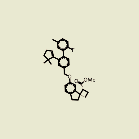 COC(=O)[C@@H]1CC[C@@]12CCc1ccc(OCc3ccc(-c4cc(C)ccc4F)c(C4=CCCC4(C)C)c3)cc12